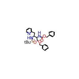 CC(C)(C)[S@@+]([O-])NC(Cc1ccccn1)C(COCc1ccccc1)NC(=O)OCc1ccccc1